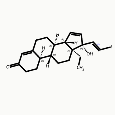 CC[C@]12CC[C@H]3[C@@H](CCC4=CC(=O)CC[C@@H]43)[C@@H]1C=C[C@@]2(O)/C=C/I